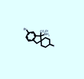 CCOC(=O)C1(N)c2cc(Br)ccc2CC12CCC(I)CC2